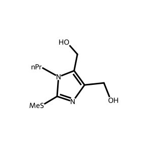 CCCn1c(SC)nc(CO)c1CO